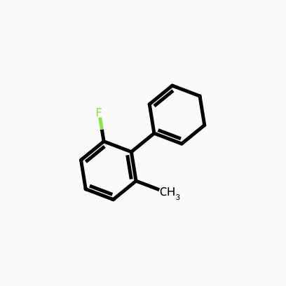 Cc1cccc(F)c1C1=CCCC=C1